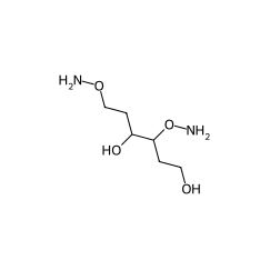 NOCCC(O)C(CCO)ON